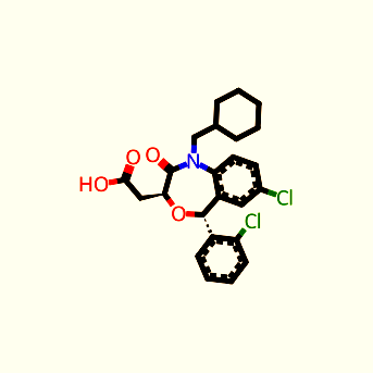 O=C(O)C[C@@H]1O[C@@H](c2ccccc2Cl)c2cc(Cl)ccc2N(CC2CCCCC2)C1=O